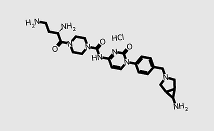 Cl.NCC[C@H](N)C(=O)N1CCN(C(=O)Nc2ccn(-c3ccc(CN4CC5C(N)C5C4)cc3)c(=O)n2)CC1